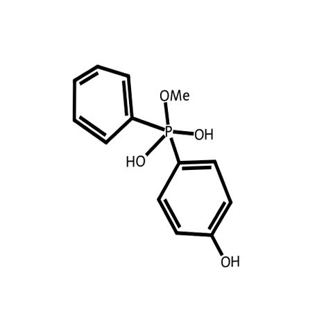 COP(O)(O)(c1ccccc1)c1ccc(O)cc1